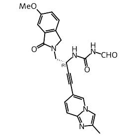 COc1ccc2c(c1)C(=O)N(C[C@@H](C#Cc1ccc3nc(C)cn3c1)NC(=O)NC=O)C2